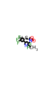 C=C[C@H]1COC(=O)N1Cc1cc(-c2ccc(F)c(C(F)F)c2)cnc1C(C)(F)F